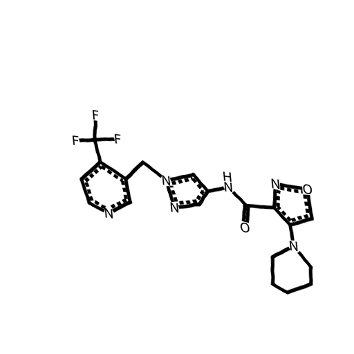 O=C(Nc1cnn(Cc2cnccc2C(F)(F)F)c1)c1nocc1N1CCCCC1